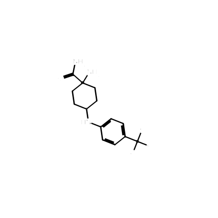 CC(C)(C)c1ccc(NC2CCC(N)(C(N)=O)CC2)cc1